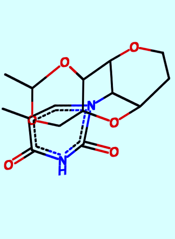 Cc1cn(C2C3CCOC2C2OC(C)OCC2O3)c(=O)[nH]c1=O